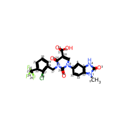 Cn1c(=O)[nH]c2cc(-n3cc(C(=O)O)c(=O)n(Cc4cccc(C(F)(F)F)c4Cl)c3=O)ccc21